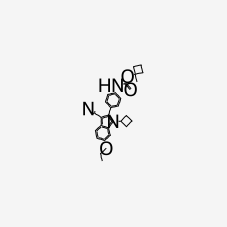 CCOc1ccc2c(C#N)c(-c3ccc(NC(=O)OC4(C)CCC4)cc3)n(C3CCC3)c2c1